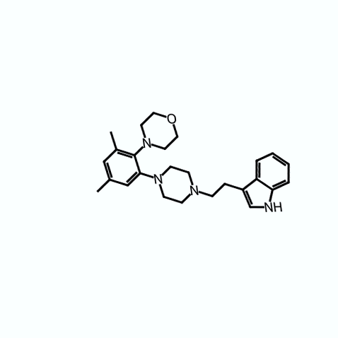 Cc1cc(C)c(N2CCOCC2)c(N2CCN(CCc3c[nH]c4ccccc34)CC2)c1